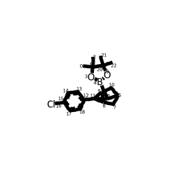 CC1(C)OB(C2C3CC4C(C3)C42c2ccc(Cl)cc2)OC1(C)C